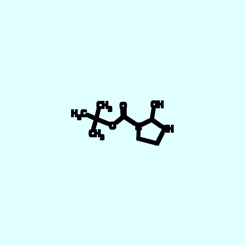 CC(C)(C)OC(=O)N1CCNC1O